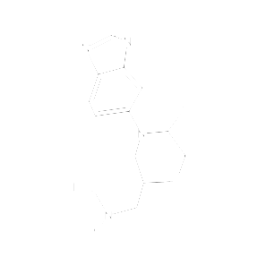 CC1COC(CN(C)C)CN1c1ccc2n[c][nH]c2c1